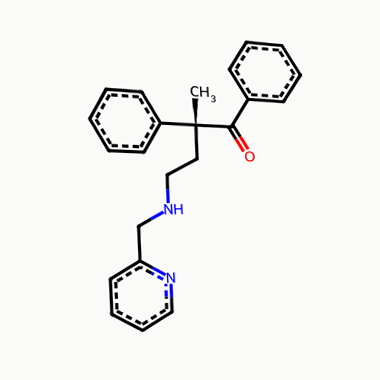 C[C@](CCNCc1ccccn1)(C(=O)c1ccccc1)c1ccccc1